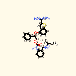 CC(C)NCc1ccccc1NC(=O)OCC(Oc1cccc2c1CC(C(=N)N)S2)c1ccccc1